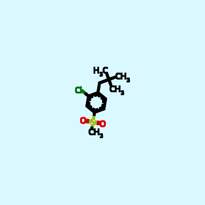 CC(C)(C)Cc1ccc(S(C)(=O)=O)cc1Cl